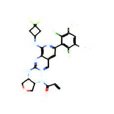 C=CC(=O)N[C@H]1COC[C@H]1Nc1ncc2cc(-c3c(Cl)c(OC)cc(OC)c3Cl)nc(NC3CC(F)(F)C3)c2n1